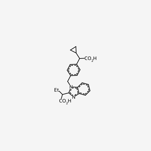 CCC(C(=O)O)c1nc2ccccc2n1Cc1ccc(C(C(=O)O)C2CC2)cc1